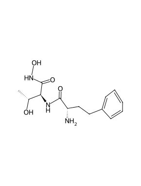 C[C@@H](O)[C@H](NC(=O)[C@@H](N)CCc1ccccc1)C(=O)NO